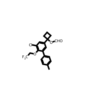 Cc1ccc(-c2cc(C3(OC=O)CCC3)cc(Cl)c2OCC(F)(F)F)cc1